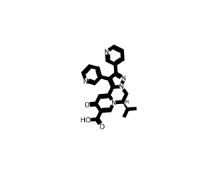 CC(C)[C@@H]1Cn2nc(-c3cccnc3)c(-c3cccnc3)c2-c2cc(=O)c(C(=O)O)cn21